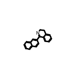 c1ccc2c(c1)CCN=C2c1ccc2ccccc2c1